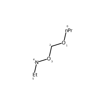 CCCOCO[N]CC